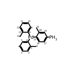 Cc1cccc[c]1[Pd]([c]1ccccc1C)[c]1ccccc1C.P